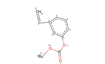 C=[C]c1cccc(OC(=O)OC(C)(C)C)c1